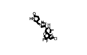 C[C@H]1C[C@@]2(C[C@@H](c3cn(CC4CCC(=O)NC4)nn3)N1)OCC(F)(F)c1cc(Cl)sc12